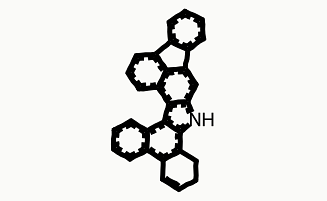 C1=Cc2c(c3[nH]c4cc5c6c(cccc6c4c3c3ccccc23)-c2ccccc2-5)CC1